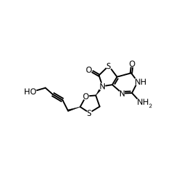 Nc1nc2c(sc(=O)n2[C@H]2CS[C@@H](CC#CCO)O2)c(=O)[nH]1